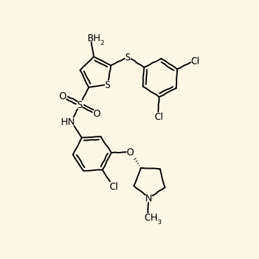 Bc1cc(S(=O)(=O)Nc2ccc(Cl)c(O[C@@H]3CCN(C)C3)c2)sc1Sc1cc(Cl)cc(Cl)c1